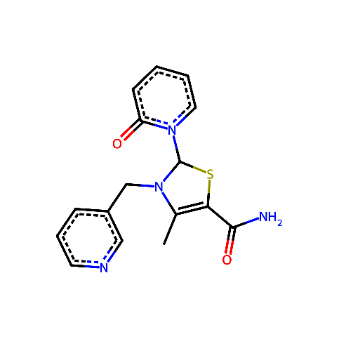 CC1=C(C(N)=O)SC(n2ccccc2=O)N1Cc1cccnc1